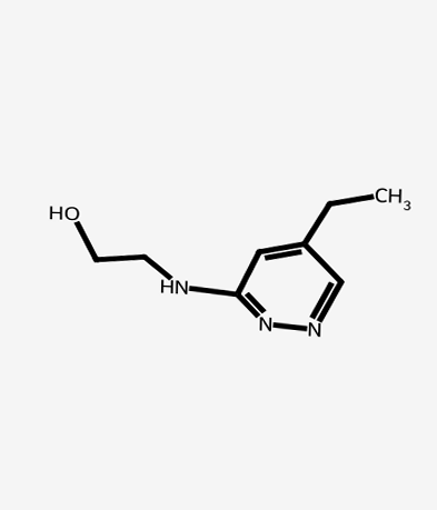 CCc1cnnc(NCCO)c1